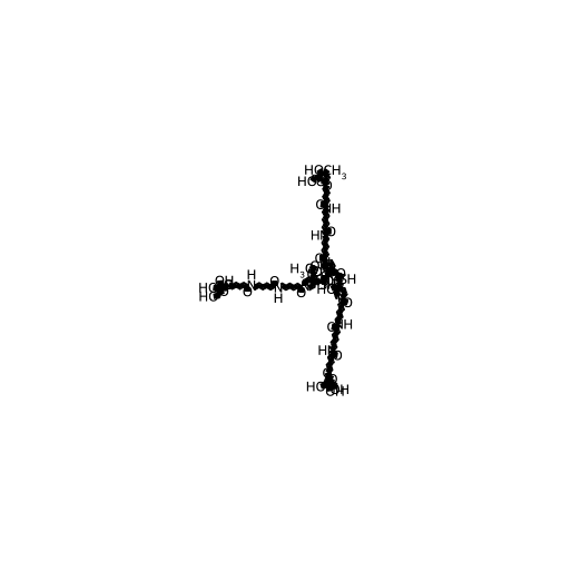 CC1CC(OCCCCC(=O)NCCCCCC(=O)NCCCCCC(=O)N2CCC(COP(=O)(S)OCC3(CO)CCN(C(=O)CCCCCNC(=O)CCCCCNC(=O)CCCCOC4OC5(CO)C(O)C(O)C45)CC3)(COP(=O)(S)OCC3(COP(C)(=O)O)CCN(C(=O)CCCCCNC(=O)CCCCCNC(=O)CCCCOC4OC(CO)C(O)C4O)CC3)CC2)OC(CO)C1O